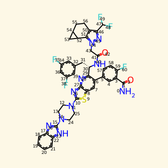 NC(=O)c1cc(-c2cc3sc(N4CCN(c5nc6ccccc6[nH]5)CC4)nc3nc2[C@H](Cc2cc(F)cc(F)c2)NC(=O)Cn2nc(C(F)F)c3c2C2CC2CC3)ccc1F